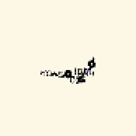 Cc1ccc(/C=N/NC(=O)c2scc(C)c2NC(=O)c2cccc(CSCCCO)c2)cc1